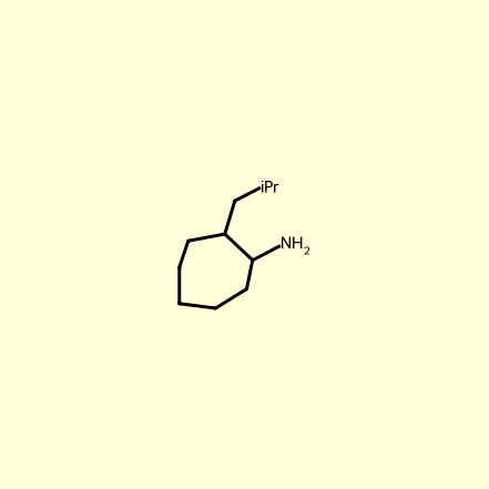 CC(C)CC1CCCCCC1N